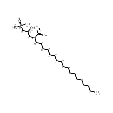 CCCCCCCCCCCCCCCCCCN(CC(O)CP(=O)(O)O)C(C)=O